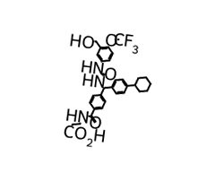 O=C(O)CCNC(=O)c1ccc(C(NC(=O)Nc2ccc(OC(F)(F)F)c(CO)c2)c2ccc(C3CCCCC3)cc2)cc1